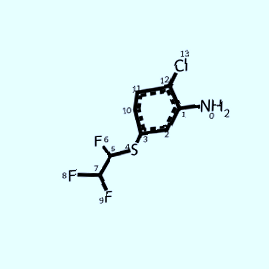 Nc1cc(SC(F)C(F)F)ccc1Cl